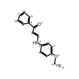 O=C(C=CNc1ccc(OC[18F])cc1)c1ccccc1